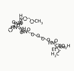 C=C1CC1C(CC)(CCCC)SC(CC(=O)O)C(=O)NCCOCCOCCOCCOCCC(=O)NCC(=O)NCC(=O)N[C@@H](Cc1ccccc1)C(=O)NCC(=O)Nc1ccc(Cc2cccc(C)c2)cc1